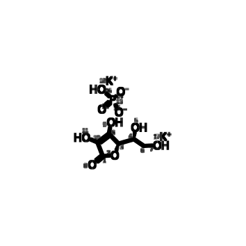 O=C1O[C@H]([C@@H](O)CO)C(O)=C1O.O=P([O-])([O-])O.[K+].[K+]